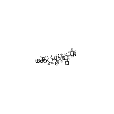 CC(C)(C)[Si](C)(C)O[C@H]1CC[C@@H](N2CCC(Cc3c(Cl)cc(-c4cccnc4)cc3Cl)C2=O)CC1